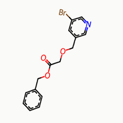 O=C(COCc1cncc(Br)c1)OCc1ccccc1